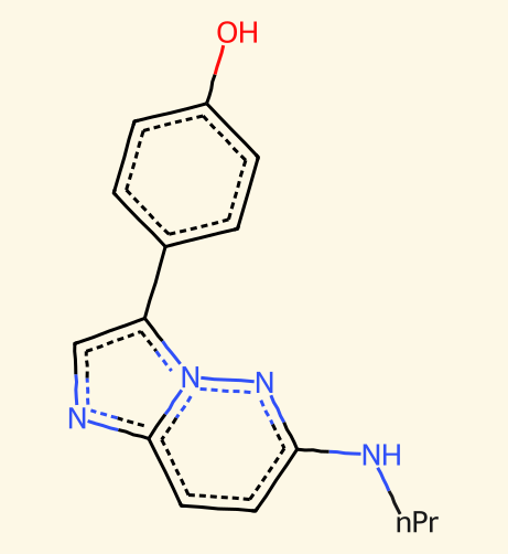 CCCNc1ccc2ncc(-c3ccc(O)cc3)n2n1